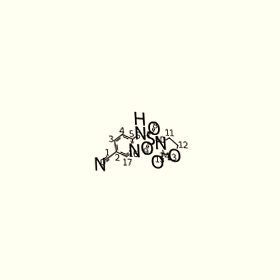 N#Cc1ccc(NS(=O)(=O)N2CCOC2=O)nc1